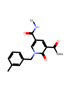 CCNC(=O)c1cc(C(=O)NC)c(=O)n(Cc2cccc(C)c2)c1